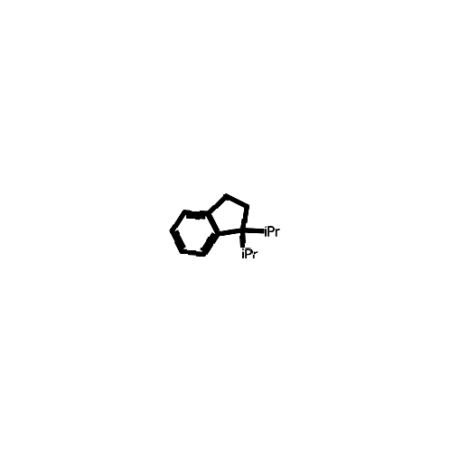 CC(C)C1(C(C)C)CCc2ccccc21